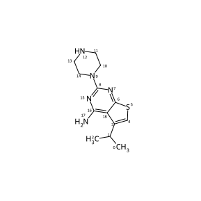 CC(C)c1csc2nc(N3CCNCC3)nc(N)c12